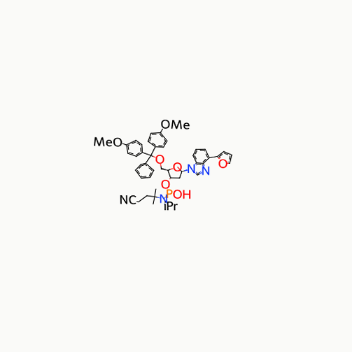 COc1ccc(C(OC[C@H]2O[C@@H](n3cnc4c(-c5ccco5)cccc43)C[C@@H]2OP(O)N(C(C)C)C(C)(C)CCC#N)(c2ccccc2)c2ccc(OC)cc2)cc1